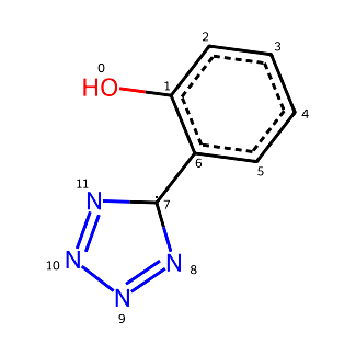 Oc1ccccc1[C]1N=NN=N1